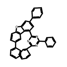 c1ccc(-c2cc(-c3nc(-c4ccccc4)nc(-c4ccccc4)n3)c3c(c2)oc2ccc(-c4ccccc4)cc23)cc1